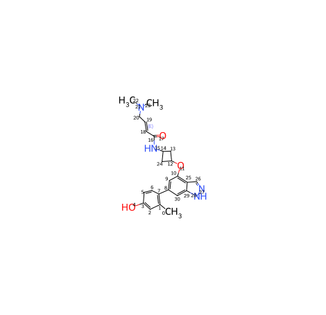 Cc1cc(O)ccc1-c1cc(OC2CC(NC(=O)/C=C/CN(C)C)C2)c2cn[nH]c2c1